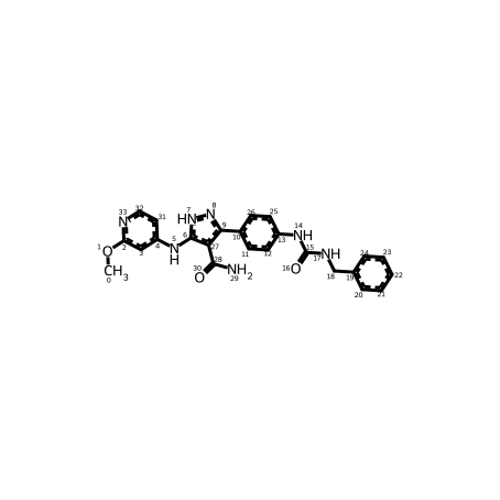 COc1cc(Nc2[nH]nc(-c3ccc(NC(=O)NCc4ccccc4)cc3)c2C(N)=O)ccn1